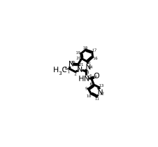 C[C@H]1CN2C(NC(=O)c3cccnc3)=Nc3ccccc3C2=N1